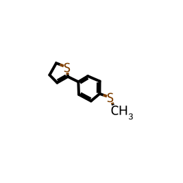 CSc1ccc(C2=CCCS2)cc1